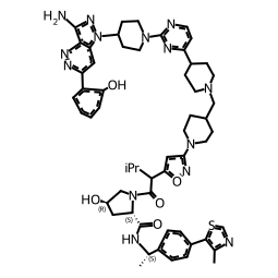 Cc1ncsc1-c1ccc([C@H](C)NC(=O)[C@@H]2C[C@@H](O)CN2C(=O)C(c2cc(N3CCC(CN4CCC(c5ccnc(N6CCC(n7nc(N)c8nnc(-c9ccccc9O)cc87)CC6)n5)CC4)CC3)no2)C(C)C)cc1